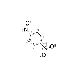 O=Nc1ccc([SH](=O)=O)cc1